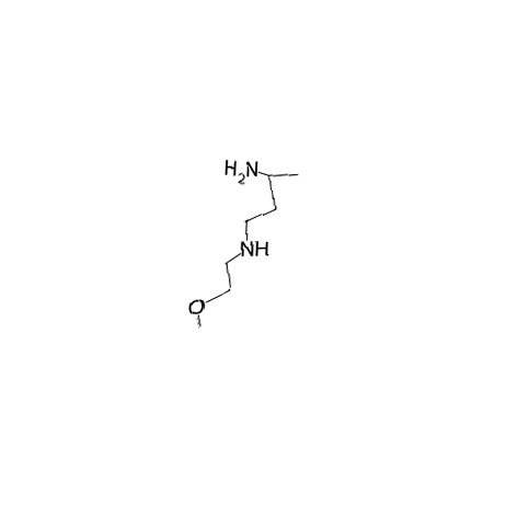 COCCNCCC(C)N